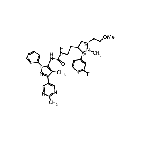 COCC[C@@H]1CC(CCNC(=O)Nc2c(C)c(-c3cnc(C)nc3)nn2-c2ccccc2)[C@H](c2ccnc(F)c2)N1C